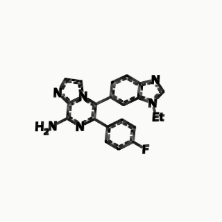 CCn1cnc2ccc(-c3c(-c4ccc(F)cc4)nc(N)c4nccn34)cc21